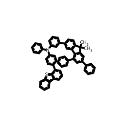 CC1(C)c2ccc(-c3cccc(N(c4ccccc4)c4ccc(-c5cccc6c5sc5ccccc56)cc4)c3)cc2-c2c(-c3ccccc3)cc(-c3ccccc3)cc21